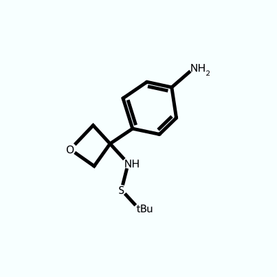 CC(C)(C)SNC1(c2ccc(N)cc2)COC1